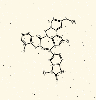 COc1ccc(CN2C(=O)C(Cc3ccccc3Cl)N=C(c3ccc4[nH]c(=O)n(C)c4c3)c3cc(Cl)ccc32)cc1